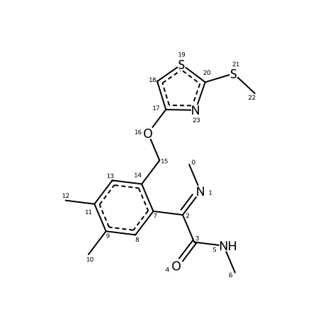 C/N=C(/C(=O)NC)c1cc(C)c(C)cc1COc1csc(SC)n1